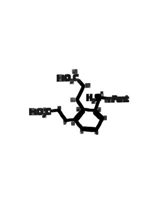 CCCCC[SiH2]c1cccc(CCC(=O)OCC)c1CCC(=O)OCC